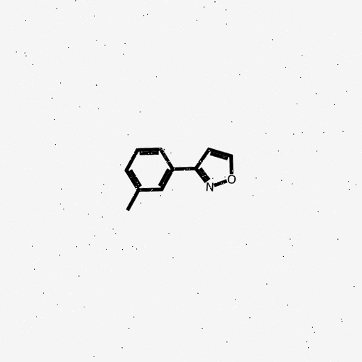 Cc1cc[c]c(-c2ccon2)c1